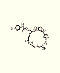 CC1=C\[C@@H](O)C[C@@H](F)Cc2nc(co2)C(=O)N2CCC[C@@H]2C(=O)O[C@H]([C@@H](C)COC(=O)Nc2ccc(Br)nc2)[C@H](C)/C=C/C(=O)NC\C=C\1